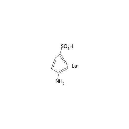 Nc1ccc(S(=O)(=O)O)cc1.[La]